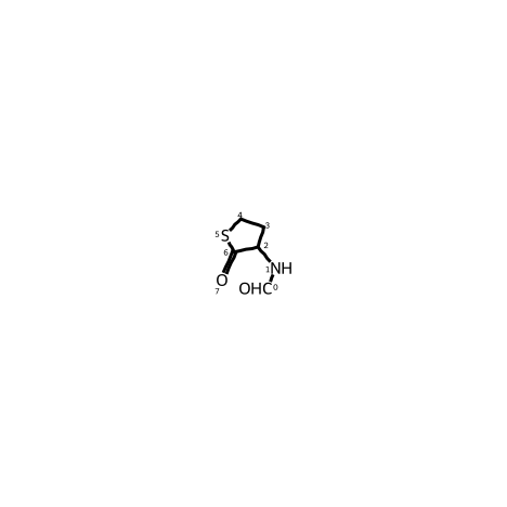 O=CNC1CCSC1=O